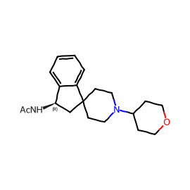 CC(=O)N[C@@H]1CC2(CCN(C3CCOCC3)CC2)c2ccccc21